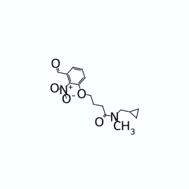 CN(CC1CC1)C(=O)CCCOc1cccc(C=O)c1[N+](=O)[O-]